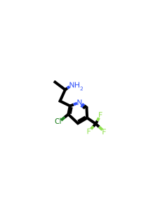 CC(N)Cc1ncc(C(F)(F)F)cc1Cl